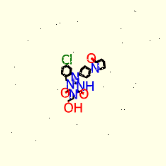 O=c1ccccn1-c1ccc(/N=c2\[nH]c(=O)n(CCO)c(=O)n2Cc2ccc(Cl)cc2)cc1